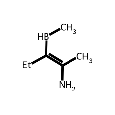 CB/C(CC)=C(\C)N